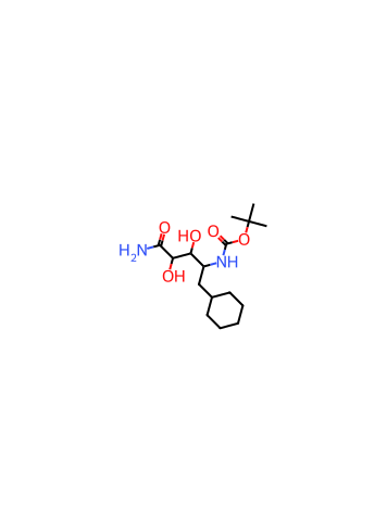 CC(C)(C)OC(=O)NC(CC1CCCCC1)C(O)C(O)C(N)=O